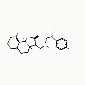 CC(=O)Oc1ccc(C(CN(C)CC2C(=O)O[C@H]3C4=C(C)CCC[C@]4(C)CCC23O)OC(C)=O)cc1